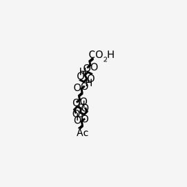 CC(=O)/C=C/C(=O)O[C@H]1CO[C@H]2[C@@H]1OC[C@H]2OC(=O)/C=C/C(=O)O[C@H]1CO[C@H]2[C@@H]1OC[C@H]2OC(=O)/C=C/C(=O)O